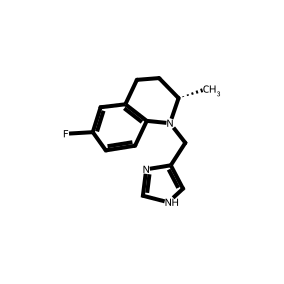 C[C@H]1CCc2cc(F)ccc2N1Cc1c[nH]cn1